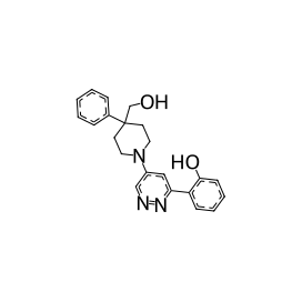 OCC1(c2ccccc2)CCN(c2cnnc(-c3ccccc3O)c2)CC1